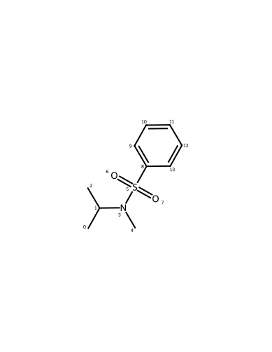 CC(C)N(C)S(=O)(=O)c1ccccc1